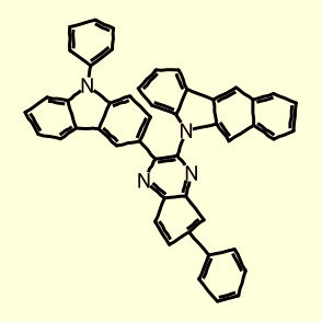 c1ccc(-c2ccc3nc(-c4ccc5c(c4)c4ccccc4n5-c4ccccc4)c(-n4c5ccccc5c5cc6ccccc6cc54)nc3c2)cc1